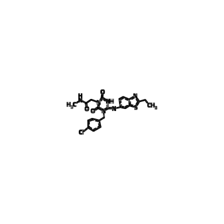 CCc1nc2ccc(/N=c3\[nH]c(=O)n(CC(=O)NC)c(=O)n3Cc3ccc(Cl)cc3)cc2s1